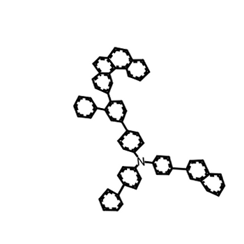 c1ccc(-c2ccc(N(c3ccc(-c4ccc(-c5ccc6ccc7ccc8ccccc8c7c6c5)c(-c5ccccc5)c4)cc3)c3ccc(-c4ccc5ccccc5c4)cc3)cc2)cc1